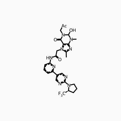 CC(=O)CN1C(=O)c2c(nc(C)n2CC(=O)Nc2cccc(-c3cnc(N4CCC[C@H]4C(F)(F)F)nc3)n2)N(C)C1O